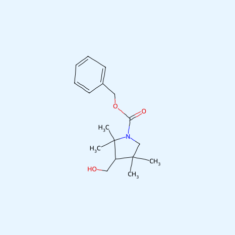 CC1(C)CN(C(=O)OCc2ccccc2)C(C)(C)C1CO